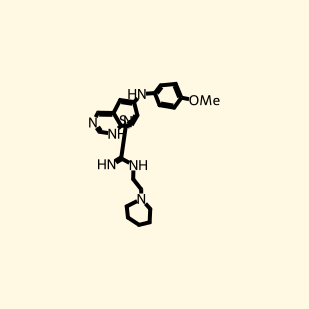 COc1ccc(NC2=CC3=CN=CNC34SC(C(=N)NCCN3CCCCC3)=NC4=C2)cc1